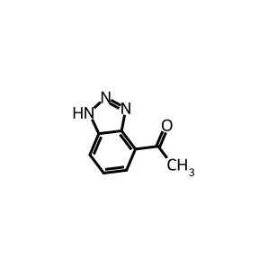 CC(=O)c1cccc2[nH]nnc12